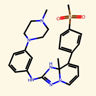 CN1CCN(c2cccc(NC3=NN4C=CC=C(c5ccc(S(C)(=O)=O)cc5)C4(C)N3)c2)CC1